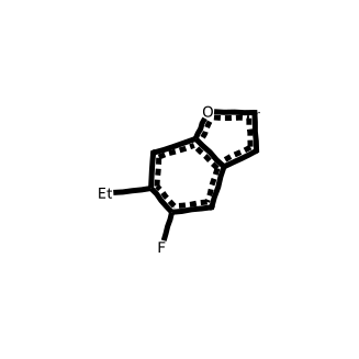 CCc1cc2o[c]cc2cc1F